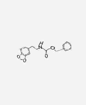 O=C(NCCc1ccc2c(c1)OCO2)OCc1ccccc1